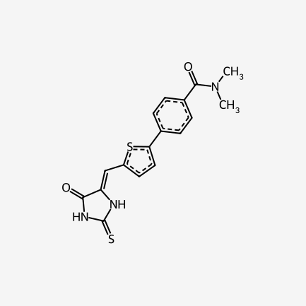 CN(C)C(=O)c1ccc(-c2ccc(/C=C3\NC(=S)NC3=O)s2)cc1